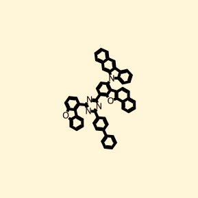 c1ccc(-c2ccc(-c3nc(-c4ccc(-n5c6ccccc6c6cc7ccccc7cc65)c5c4oc4c6ccccc6ccc45)nc(-c4cccc5oc6ccccc6c45)n3)cc2)cc1